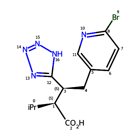 CC(C)[C@H](C(=O)O)[C@H](Cc1ccc(Br)nc1)c1nnn[nH]1